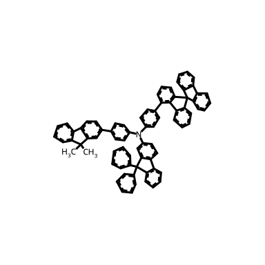 CC1(C)c2ccccc2-c2ccc(-c3ccc(N(c4ccc(-c5cccc6c5-c5ccccc5C65c6ccccc6-c6ccccc65)cc4)c4ccc5c(c4)C(c4ccccc4)(c4ccccc4)c4ccccc4-5)cc3)cc21